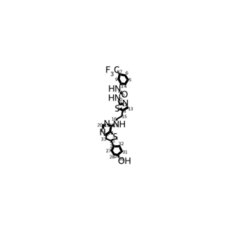 O=C(Nc1cccc(C(F)(F)F)c1)Nc1ncc(CCNc2ncnc3c2SC(c2ccc(O)cc2)C3)s1